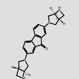 O=C1c2cc(N3C[C@H]4CN[C@@H]4C3)ccc2-c2ccc(N3C[C@H]4CN[C@@H]4C3)cc21